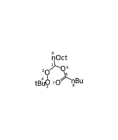 CCCCCCCCC(OOC(C)(C)C)OC(=O)CCCC